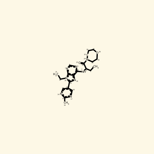 CCC(Nc1ncnc2c1nc(-c1cnc(C)nc1)n2CC)C(=O)N1CCCOCC1